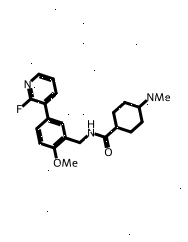 CNC1CCC(C(=O)NCc2cc(-c3cccnc3F)ccc2OC)CC1